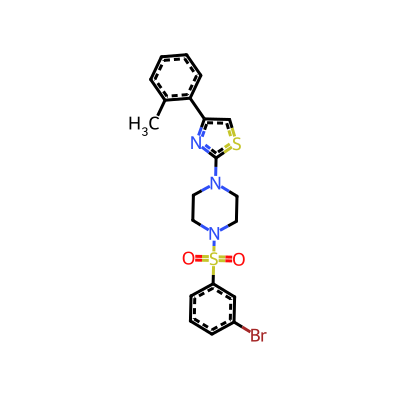 Cc1ccccc1-c1csc(N2CCN(S(=O)(=O)c3cccc(Br)c3)CC2)n1